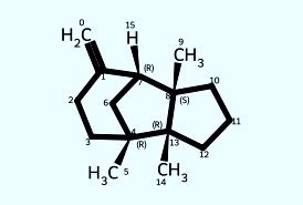 C=C1CC[C@]2(C)C[C@H]1[C@]1(C)CCC[C@]21C